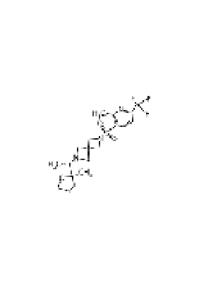 Cc1nc(C(F)(F)F)ccc1S(=O)(=O)N1CC2(CN([C@@H](C)C3(C)CCCO3)C2)C1